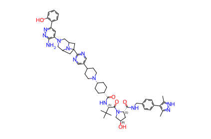 Cc1n[nH]c(C)c1-c1ccc(CNC(=O)[C@@H]2C[C@@H](O)CN2C(=O)[C@@H](NC(=O)[C@H]2CC[C@@H](N3CCC(c4cnc(C56CC7CN(c8cc(-c9ccccc9O)nnc8N)CC(C5)N76)nc4)CC3)CC2)C(C)(C)C)cc1